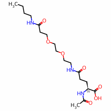 CCCCNC(=O)CCOCCOCCNC(=O)CC[C@H](NC(C)=O)C(=O)O